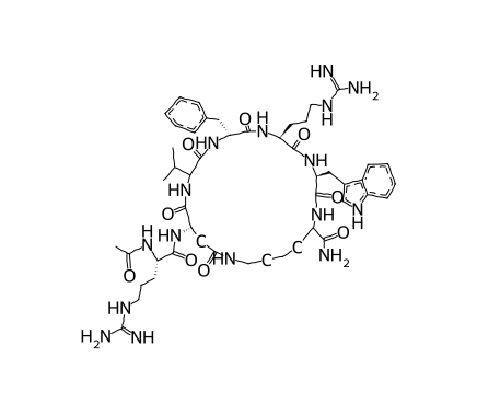 CC(=O)N[C@@H](CCCNC(=N)N)C(=O)N[C@H]1CC(=O)NCCCCC(C(N)=O)NC(=O)[C@H](Cc2c[nH]c3ccccc23)NC(=O)[C@H](CCCNC(=N)N)NC(=O)[C@@H](Cc2ccccc2)NC(=O)C(C(C)C)NC1=O